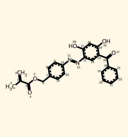 C=C(C)C(=O)OCc1ccc(/N=N/c2cc(C(=O)c3ccccc3)c(O)cc2O)cc1